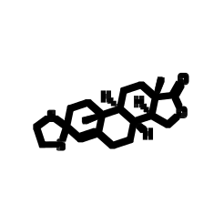 C[C@]12CCC3(C=C1CC[C@@H]1[C@@H]2CC[C@]2(C)C(=O)OC[C@@H]12)SCCS3